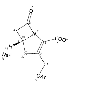 CC(=O)OCC1=C(C(=O)[O-])N2C(=O)C[C@H]2S1.[Na+]